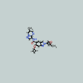 Cc1cnc2c(NC(=O)c3cc4cn(C56COC(C)(C5)C6)nc4cc3OC3CCC3)cnn2c1